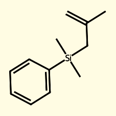 C=C(C)C[Si](C)(C)c1ccccc1